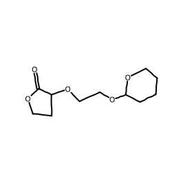 O=C1OCCC1OCCOC1CCCCO1